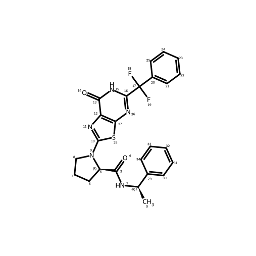 C[C@@H](NC(=O)[C@H]1CCCN1c1nc2c(=O)[nH]c(C(F)(F)c3ccccc3)nc2s1)c1ccccc1